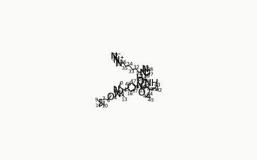 Cc1nn(COCC[Si](C)(C)C)c(C)c1-c1ccc(NC(=O)[C@@H](NC(=O)c2ccnn2CCCCCCN=[N+]=[N-])C(C2CC2)C2CC2)cc1